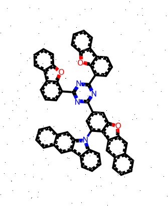 c1ccc2cc3c(cc2c1)oc1cc(-c2nc(-c4cccc5c4oc4ccccc45)nc(-c4cccc5c4oc4ccccc45)n2)cc(-n2c4ccccc4c4cc5ccccc5cc42)c13